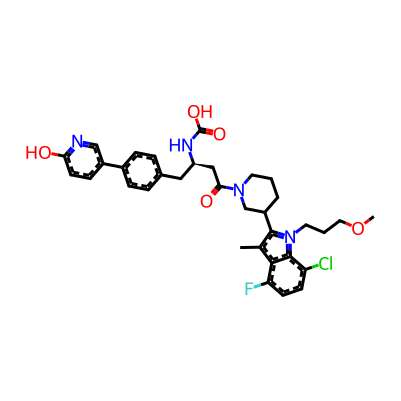 COCCCn1c(C2CCCN(C(=O)C[C@@H](Cc3ccc(-c4ccc(O)nc4)cc3)NC(=O)O)C2)c(C)c2c(F)ccc(Cl)c21